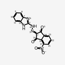 O=c1c(=NNc2nc3ccccc3[nH]2)c(=O)c2c([N+](=O)[O-])cccc12